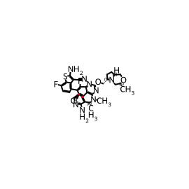 C[C@H](c1cccnc1N)N(C)c1nc(OC[C@@H]2CC[C@H]3CO[C@@H](C)CN23)nc2c(F)c(-c3ccc(F)c4sc(N)c(C#N)c34)c(Cl)cc12